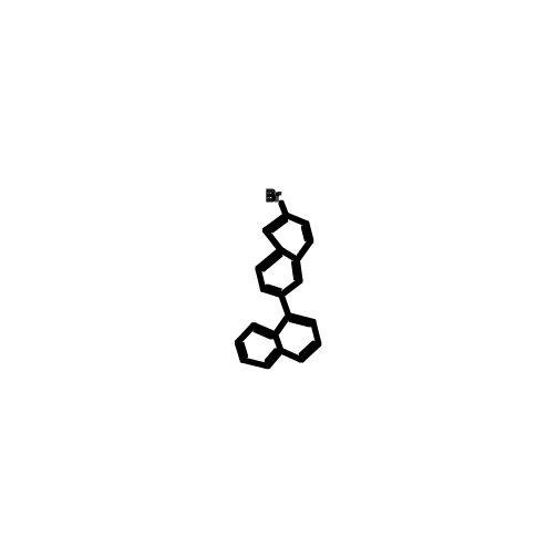 Brc1ccc2cc(-c3cccc4ccccc34)ccc2c1